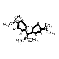 CN(C)C(=C1C=CC(=[N+](C)C)C=C1)c1ccc(N(C)C)cc1